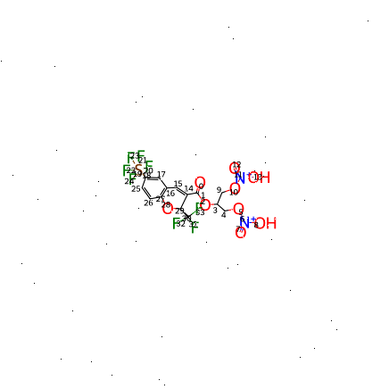 O=C(OC(CO[N+](=O)O)CO[N+](=O)O)C1=Cc2cc(S(F)(F)(F)(F)F)ccc2O[C@@H]1C(F)(F)F